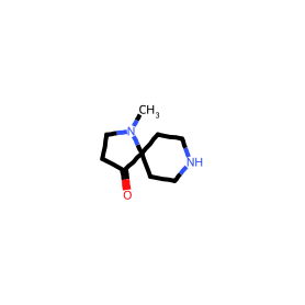 CN1CCC(=O)C12CCNCC2